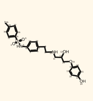 O=S(=O)(Nc1ccc(CCNCC(O)COc2ccc(O)cc2)cc1)c1ccc(I)cc1